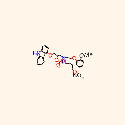 COc1ccccc1OCCNCC(COc1cccc2[nH]c3ccccc3c12)OC(=O)OCCCCO[N+](=O)[O-]